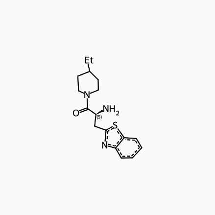 CCC1CCN(C(=O)[C@@H](N)Cc2nc3ccccc3s2)CC1